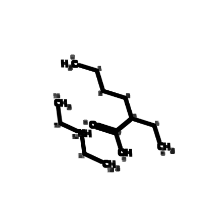 CCCCC(CC)C(=O)O.CCNCC